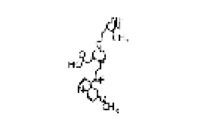 COc1ccc2nccc([C@H](F)CC[C@@H]3CCN(CCCc4c[nH]nc4C)C[C@@H]3CC(=O)O)c2c1